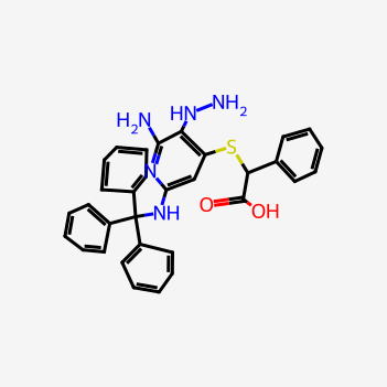 NNc1c(SC(C(=O)O)c2ccccc2)cc(NC(c2ccccc2)(c2ccccc2)c2ccccc2)nc1N